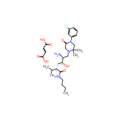 CCCCNC(=O)[C@@H](C[C@H](O)[C@@H](N)CN1CC(=O)N(c2cccc(F)c2)CC1(C)C)C(C)C.O=C(O)C=CC(=O)O